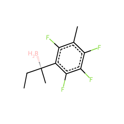 B[C@](C)(CC)c1c(F)c(C)c(F)c(F)c1F